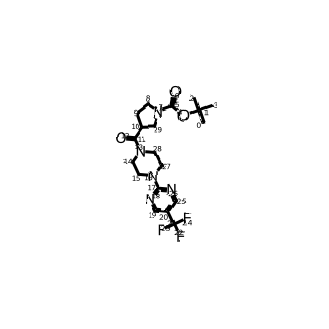 CC(C)(C)OC(=O)N1CCC(C(=O)N2CCN(c3ncc(C(F)(F)F)cn3)CC2)C1